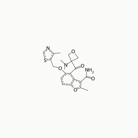 Cc1ncsc1COc1ccc2oc(C)c(C(N)=O)c2c1C(=O)C1(N(C)C)COC1